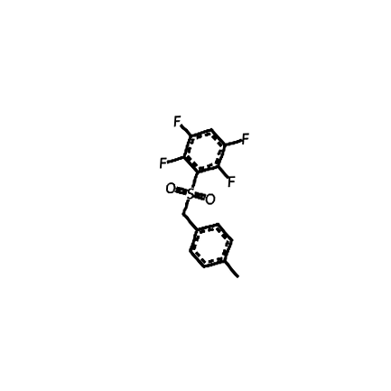 Cc1ccc(CS(=O)(=O)c2c(F)c(F)cc(F)c2F)cc1